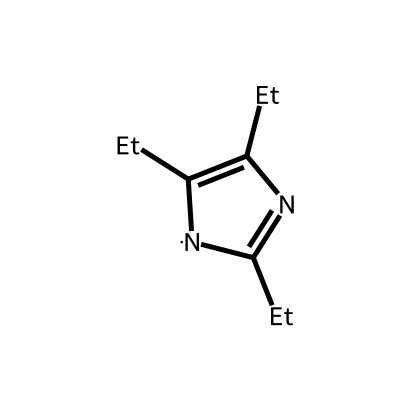 CCC1=NC(CC)=C(CC)[N]1